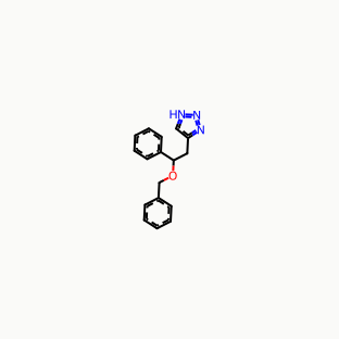 c1ccc(COC(Cc2c[nH]nn2)c2ccccc2)cc1